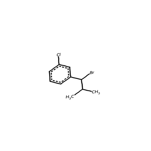 CC(C)C(Br)c1cccc(Cl)c1